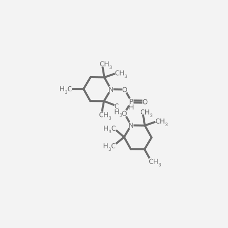 CC1CC(C)(C)N(O[PH](=O)ON2C(C)(C)CC(C)CC2(C)C)C(C)(C)C1